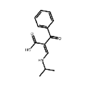 CC(C)NC=C(C(=O)O)C(=O)c1ccccc1